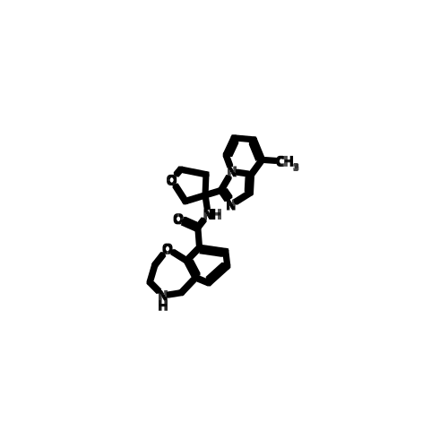 Cc1cccn2c(C3(NC(=O)c4cccc5c4OCCNC5)CCOC3)ncc12